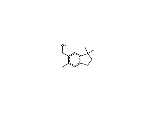 Cc1cc2c(cc1CO)C(C)(C)CC2